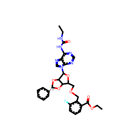 CCNC(=O)Nc1ncnc2c1ncn2C1OC(COCc2c(F)cccc2C(=O)OCC)C2O[C@H](c3ccccc3)OC21